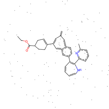 C=C1C=C(C2=CCC(C(=O)OCC)CC2)C=c2cc(C3=C(c4cccc(C)n4)NC=CC=C3)ccc2=C1